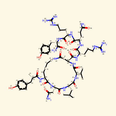 CC(C)C[C@@H]1NC(=O)[C@H](CC(N)=O)NC(=O)[C@@H](NC(=O)[C@@H](C)Cc2ccc(O)cc2)CCCCNC(=O)C[C@@H](C(=O)N[C@@H](CCCNC(=N)N)C(=O)N[C@@H](CCC(N)=O)C(=O)N[C@@H](CCCNC(=N)N)C(=O)N[C@@H](Cc2ccc(O)cc2)C(N)=O)NC(=O)[C@H](C(C)C)NC1=O